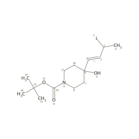 CC(I)/C=C/C1(O)CCN(C(=O)OC(C)(C)C)CC1